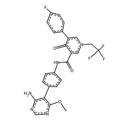 COc1ncnc(N)c1-c1ccc(NC(=O)c2cn(CC(F)(F)F)cc(-c3ccc(F)cc3)c2=O)cc1